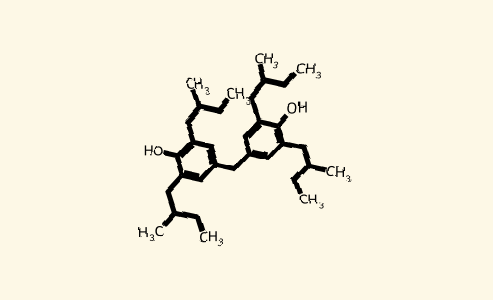 CCC(C)Cc1cc(Cc2cc(CC(C)CC)c(O)c(CC(C)CC)c2)cc(CC(C)CC)c1O